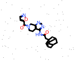 O=C(CC12CC3CC(CC(C3)C1)C2)Nc1ncnc2c1CCN(C(=O)c1ccno1)C2